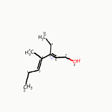 CCC=C(C)/C(=[C]/CO)CC